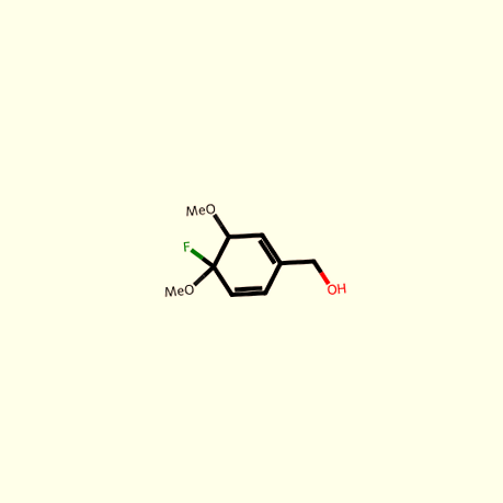 COC1C=C(CO)C=CC1(F)OC